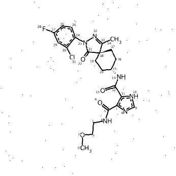 COCCNC(=O)c1nc[nH]c1C(=O)N[C@H]1CC[C@@]2(CC1)C(=O)N(c1ccc(F)cc1Cl)N=C2C